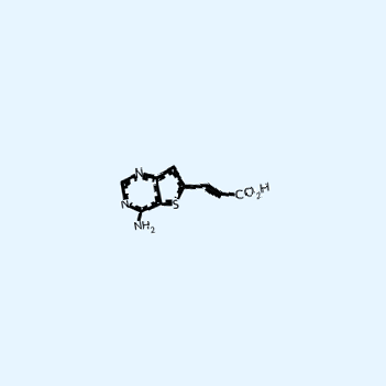 Nc1ncnc2cc(C=CC(=O)O)sc12